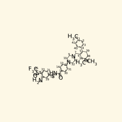 Cc1ccc(C2=C(CN3CCN(c4ccc(C(=O)NSc5ccc([S+]([O-])C(F)(F)F)c(N)c5)cc4)CC3)CC(C)(C)CC2)cc1